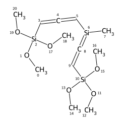 CO[Si](C=C=C[Si](C)=C=C[Si](OC)(OC)OC)(OC)OC